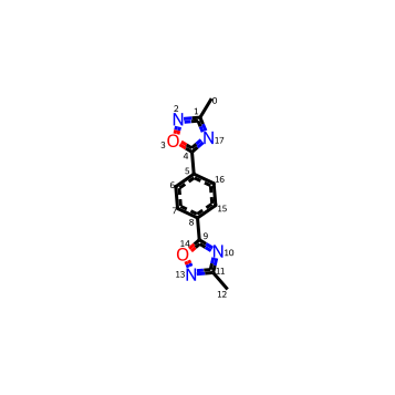 Cc1noc(-c2ccc(-c3nc(C)no3)cc2)n1